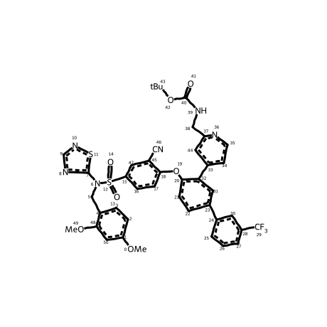 COc1ccc(CN(c2ncns2)S(=O)(=O)c2ccc(Oc3ccc(-c4cccc(C(F)(F)F)c4)cc3-c3ccnc(CNC(=O)OC(C)(C)C)c3)c(C#N)c2)c(OC)c1